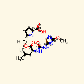 COC(=O)[C@H](CC(C)C)NC(=O)Nc1nc(OC)ns1.O=C(O)[C@@H]1CCCN1